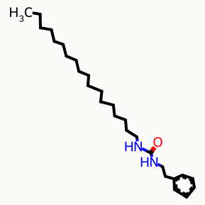 CCCCCCCCCCCCCCCCCCNC(=O)NCCc1ccccc1